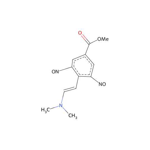 COC(=O)c1cc(N=O)c(/C=C/N(C)C)c(N=O)c1